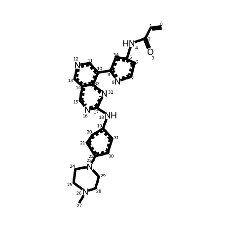 C=CC(=O)Nc1ccnc(-c2cncc3cnc(Nc4ccc(N5CCN(C)CC5)cc4)nc23)c1